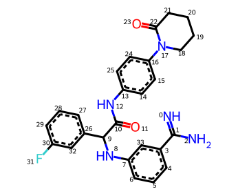 N=C(N)c1cccc(NC(C(=O)Nc2ccc(N3CCCCC3=O)cc2)c2cccc(F)c2)c1